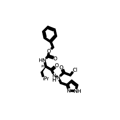 CC(C)C[C@@H](NC(=O)OCc1ccccc1)C(=O)NN(Cc1cc[nH]n1)C(=O)CCl